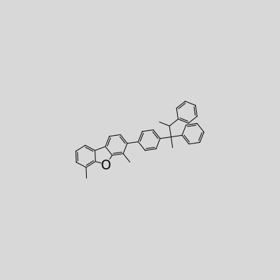 Cc1cccc2c1oc1c(C)c(-c3ccc(C(C)(c4ccccc4)C(C)c4ccccc4)cc3)ccc12